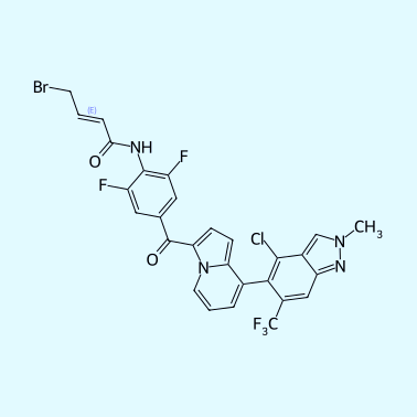 Cn1cc2c(Cl)c(-c3cccn4c(C(=O)c5cc(F)c(NC(=O)/C=C/CBr)c(F)c5)ccc34)c(C(F)(F)F)cc2n1